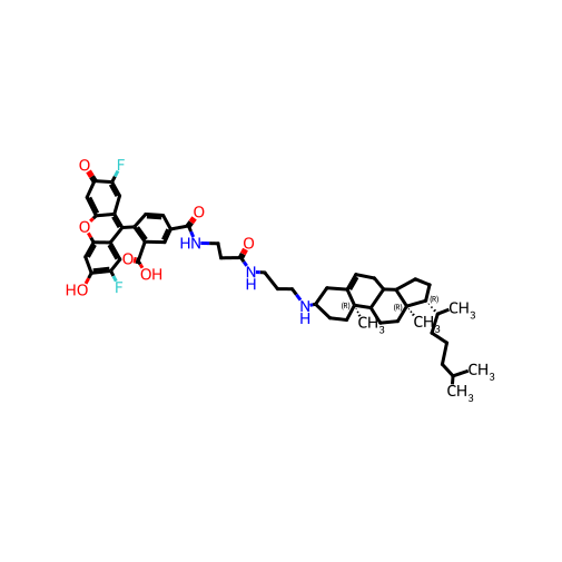 CC(C)CCCC(C)[C@H]1CCC2C3CC=C4CC(NCCCNC(=O)CCNC(=O)c5ccc(-c6c7cc(F)c(=O)cc-7oc7cc(O)c(F)cc67)c(C(=O)O)c5)CC[C@]4(C)C3CC[C@@]21C